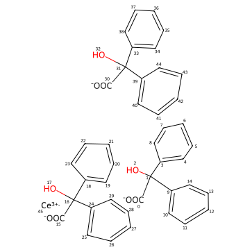 O=C([O-])C(O)(c1ccccc1)c1ccccc1.O=C([O-])C(O)(c1ccccc1)c1ccccc1.O=C([O-])C(O)(c1ccccc1)c1ccccc1.[Ce+3]